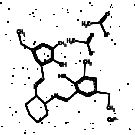 CC(=O)[O-].CC(=O)[O-].CCc1cc(C)c(O)c(C=NC2CCCCC2N=Cc2cc(CC)cc(C)c2O)c1.[Co+2]